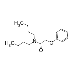 CCCCN(CCCC)C(=O)COc1ccccc1